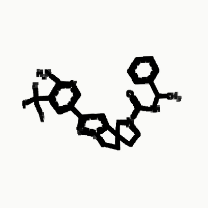 CC(NC(=O)N1CCC2(CCn3nc(-c4cnc(N)c(C(F)(F)F)c4)cc32)C1)c1ccccc1